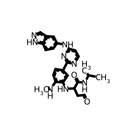 CNc1ccc(-c2nccc(Nc3ccc4[nH]ncc4c3)n2)cc1NC(CC=O)C(=O)NC(C)C